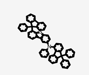 c1ccc(N(c2ccc3sc4c(C5(c6ccccc6)c6ccccc6-c6ccccc65)cccc4c3c2)c2cccc3c2-c2ccccc2C3(c2ccccc2)c2ccccc2)cc1